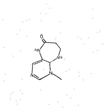 CN1C=NC=C2NC(=O)CCNC21